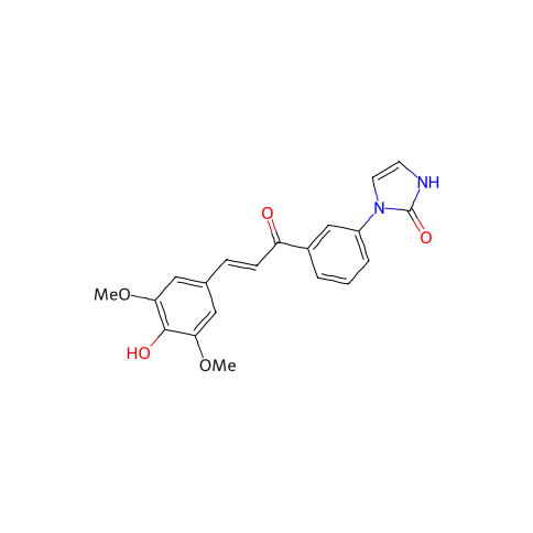 COc1cc(/C=C/C(=O)c2cccc(-n3cc[nH]c3=O)c2)cc(OC)c1O